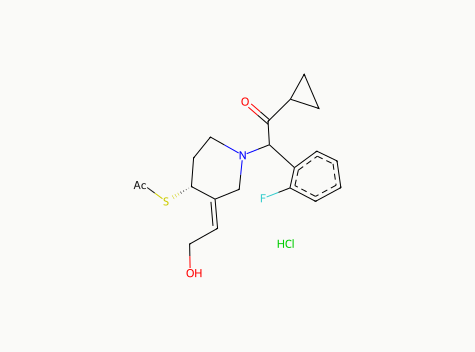 CC(=O)S[C@@H]1CCN(C(C(=O)C2CC2)c2ccccc2F)CC1=CCO.Cl